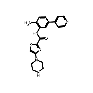 Nc1ccc(-c2ccncc2)cc1NC(=O)c1nc(N2CCNCC2)cs1